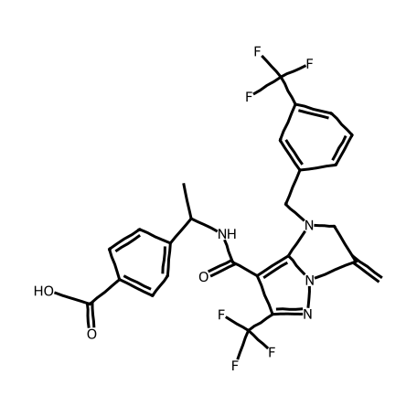 C=C1CN(Cc2cccc(C(F)(F)F)c2)c2c(C(=O)NC(C)c3ccc(C(=O)O)cc3)c(C(F)(F)F)nn21